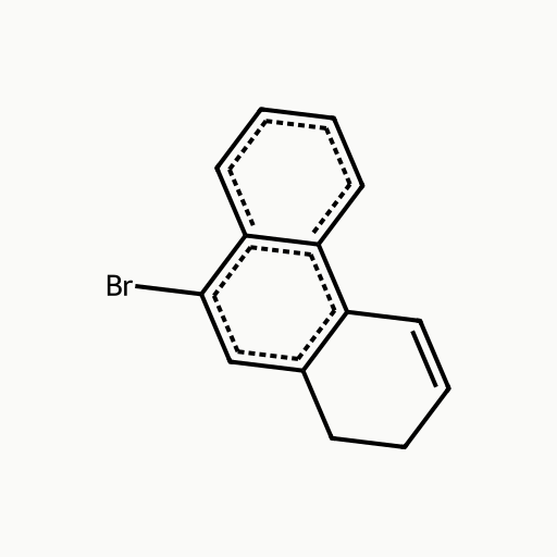 Brc1cc2c(c3ccccc13)C=CCC2